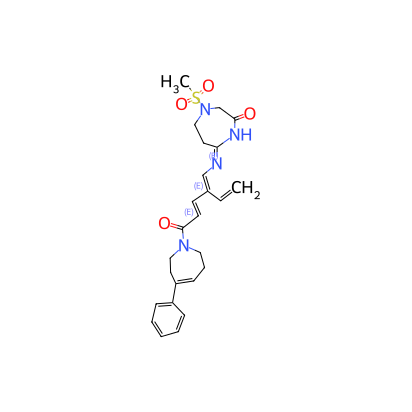 C=CC(/C=C/C(=O)N1CCC=C(c2ccccc2)CC1)=C\N=C1/CCN(S(C)(=O)=O)CC(=O)N1